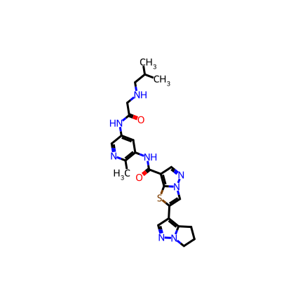 Cc1ncc(NC(=O)CNCC(C)C)cc1NC(=O)c1cnn2cc(-c3cnn4c3CCC4)sc12